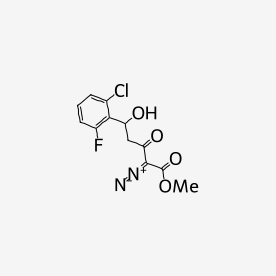 COC(=O)C(=[N+]=[N-])C(=O)CC(O)c1c(F)cccc1Cl